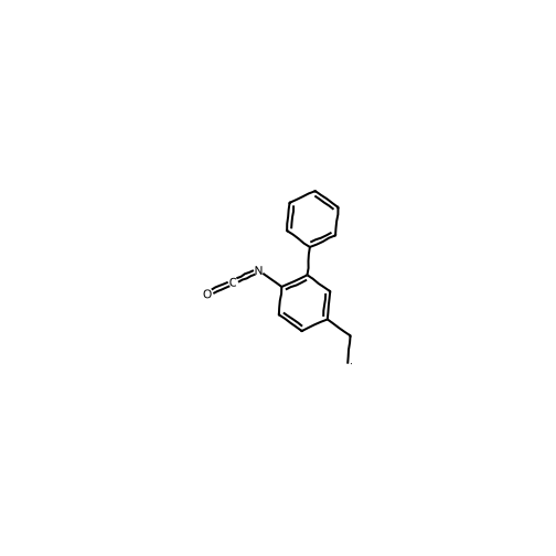 [CH2]Cc1ccc(N=C=O)c(-c2ccccc2)c1